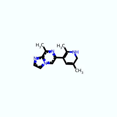 CC1=CC(c2cn3ccnc3c(C)n2)=C(C)NC1